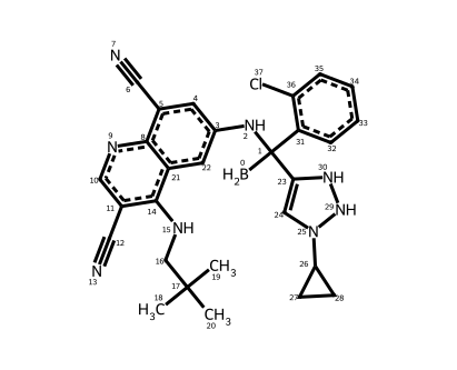 BC(Nc1cc(C#N)c2ncc(C#N)c(NCC(C)(C)C)c2c1)(C1=CN(C2CC2)NN1)c1ccccc1Cl